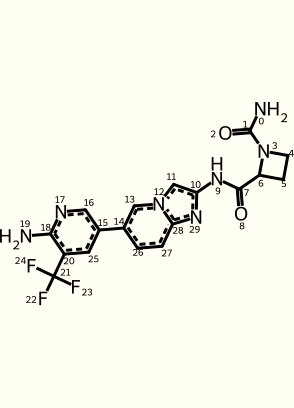 NC(=O)N1CCC1C(=O)Nc1cn2cc(-c3cnc(N)c(C(F)(F)F)c3)ccc2n1